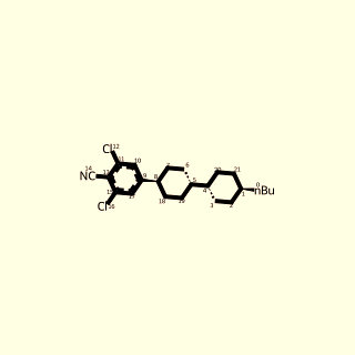 CCCC[C@H]1CC[C@H]([C@H]2CC[C@H](c3cc(Cl)c(C#N)c(Cl)c3)CC2)CC1